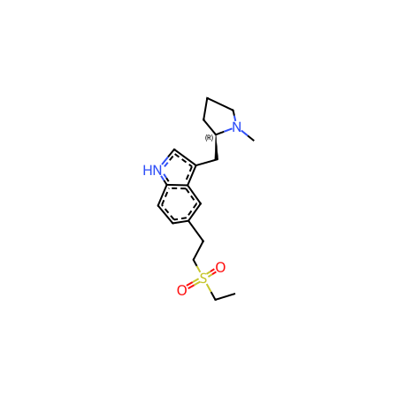 CCS(=O)(=O)CCc1ccc2[nH]cc(C[C@H]3CCCN3C)c2c1